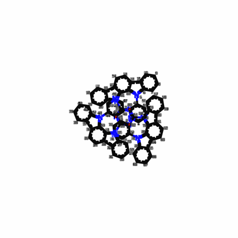 c1cncc(-n2c3ccccc3c3ccc4c5ccccc5n(-c5nc(-n6c7ccccc7c7ccc8c9ccccc9n(-c9cccnc9)c8c76)nc(-n6c7ccccc7c7ccc8c9ccccc9n(-c9cccnc9)c8c76)n5)c4c32)c1